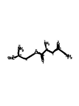 NC(=O)C[C@H](N)C(=O)OC[C@H](N)C=O